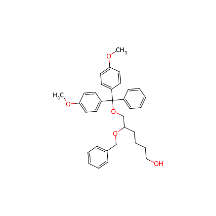 COc1ccc(C(OCC(CCCCO)OCc2ccccc2)(c2ccccc2)c2ccc(OC)cc2)cc1